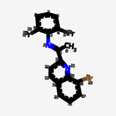 CC(=Nc1c(C(C)C)cccc1C(C)C)c1ccc2cccc(Br)c2n1